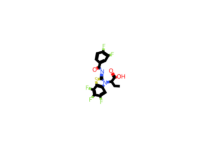 CCC(C(=O)O)n1c(=NC(=O)c2ccc(F)c(F)c2)sc2c(F)c(F)c(F)cc21